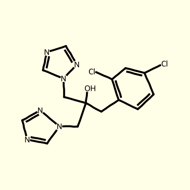 OC(Cc1ccc(Cl)cc1Cl)(Cn1cncn1)Cn1cncn1